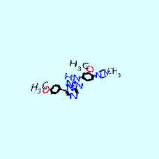 COc1ccc(-c2cncc3nc(Nc4ccc(N5CCN(C)CC5)c(OC)c4)nn23)cc1